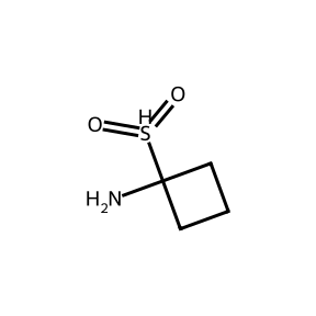 NC1([SH](=O)=O)CCC1